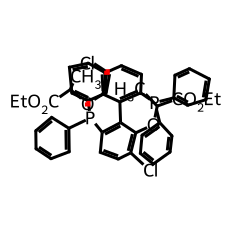 CCOC(=O)C(C)Oc1c(Cl)ccc(P(c2ccccc2)c2ccccc2)c1-c1c(P(c2ccccc2)c2ccccc2)ccc(Cl)c1OC(C)C(=O)OCC